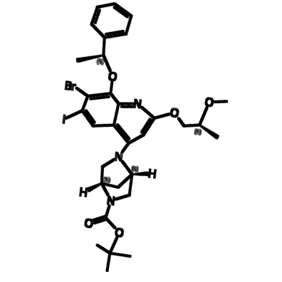 CO[C@@H](C)COc1cc(N2C[C@@H]3C[C@H]2CN3C(=O)OC(C)(C)C)c2cc(I)c(Br)c(O[C@@H](C)c3ccccc3)c2n1